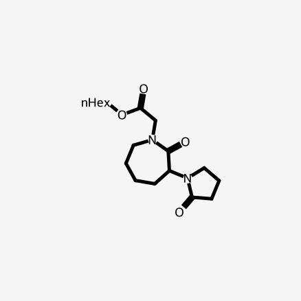 CCCCCCOC(=O)CN1CCCCC(N2CCCC2=O)C1=O